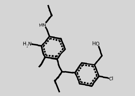 CCNc1ccc(C(CC)c2ccc(Cl)c(CO)c2)c(C)c1N